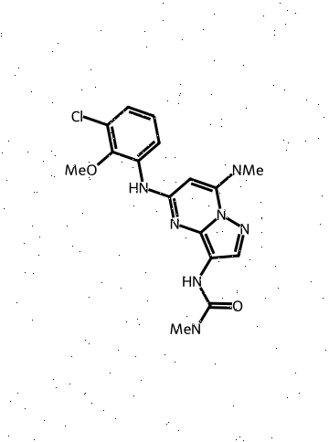 CNC(=O)Nc1cnn2c(NC)cc(Nc3cccc(Cl)c3OC)nc12